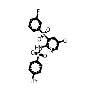 CC(C)c1ccc(S(=O)(=O)Nc2ncc(Cl)cc2S(=O)(=O)c2cccc(F)c2)cc1